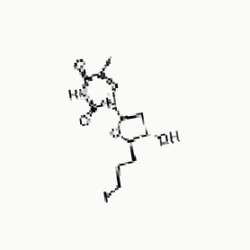 Cc1cn([C@H]2C[C@H](O)[C@@H](CCCI)O2)c(=O)[nH]c1=O